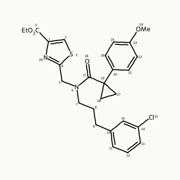 CCOC(=O)c1csc(CN(CCCc2cccc(Cl)c2)C(=O)C2(c3ccc(OC)cc3)CC2)n1